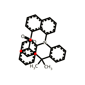 CC1(C)c2ccccc2N(c2cccc3cccc(S(=O)(=O)c4ccccc4)c23)c2ccccc21